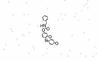 O=C(NCc1ccccc1)Oc1ccc2nc3ccc(=O)cc-3oc2c1